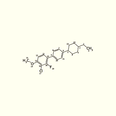 CCC1CCC(c2ccc(-c3ccc(OC)c(Cl)c3F)cc2)CC1